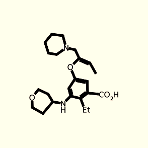 C/C=C(/CN1CCCCC1)Oc1cc(NC2CCOCC2)c(CC)c(C(=O)O)c1